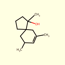 CC1=CC(C)CC2(CCCC2(C)O)C1